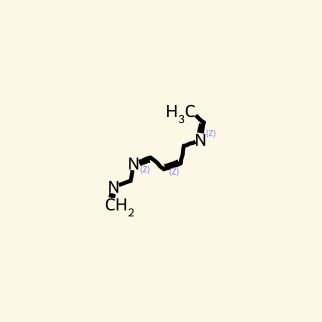 C=NC/N=C\C=C/C/N=C\C